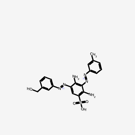 Cc1cccc(/N=N/c2c(N)c(/N=N/c3cccc(CO)c3)cc(S(=O)(=O)O)c2N)c1